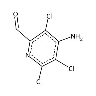 Nc1c(Cl)c(Cl)nc([C]=O)c1Cl